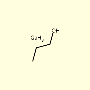 CCCO.[GaH3]